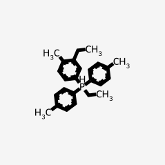 CCc1cc([PH](CC)(c2ccc(C)cc2)c2ccc(C)cc2)ccc1C